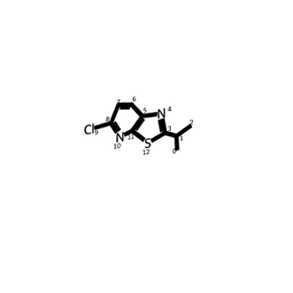 CC(C)c1nc2ccc(Cl)nc2s1